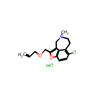 C=CCOCc1oc2ccc(Cl)c3c2c1CN(C)CC3.Cl